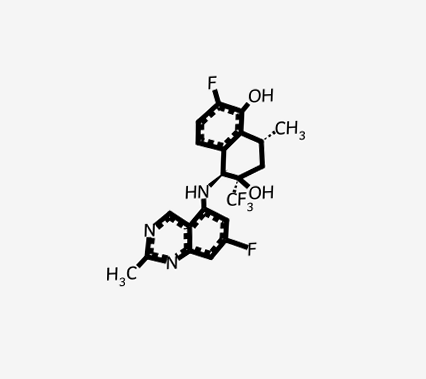 Cc1ncc2c(N[C@H]3c4ccc(F)c(O)c4[C@H](C)C[C@]3(O)C(F)(F)F)cc(F)cc2n1